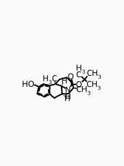 C[C@@H]1CCC[C@]2(C)c3cc(O)ccc3C[C@H](C1)[C@@H]2NC(=O)OC(C)(C)C